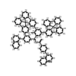 C=C(/N=C(/c1ccc(-c2ccnc3ccccc23)cc1)c1cc(-c2ccc3c(c2)C2(c4ccccc4-c4ccccc42)c2ccccc2-3)cc(-c2ccc3c(c2)C2(c4ccccc4-c4ccccc42)c2ccccc2-3)c1C)c1ccc(-c2ccnc3ccccc23)cc1